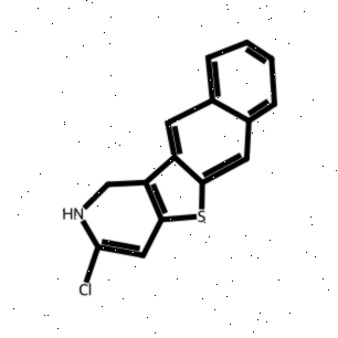 ClC1=Cc2sc3cc4ccccc4cc3c2CN1